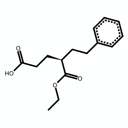 CCOC(=O)[C@@H](CCC(=O)O)CCc1ccccc1